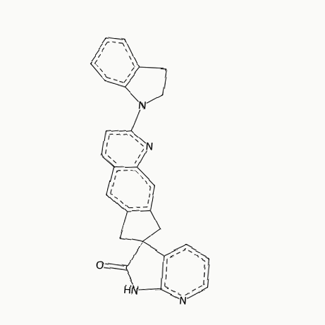 O=C1Nc2ncccc2C12Cc1cc3ccc(N4CCc5ccccc54)nc3cc1C2